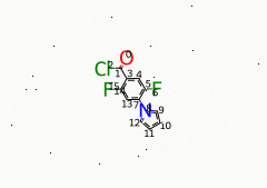 O=C(Cl)c1cc(F)c(-n2cccc2)cc1F